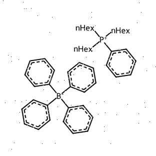 CCCCCC[P+](CCCCCC)(CCCCCC)c1ccccc1.c1ccc([B-](c2ccccc2)(c2ccccc2)c2ccccc2)cc1